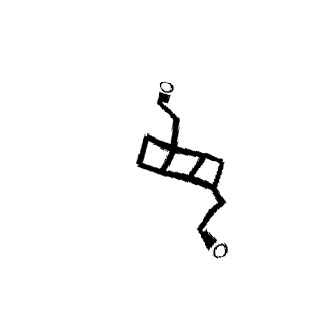 O=CCC12C3C4C1C1C2C3C41CC=O